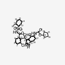 COc1cccc(C(=O)NS(=O)(=O)c2ccccc2C)c1C(C=O)c1c[nH]c2ccc(NC(=O)OC3CCCC3)cc12